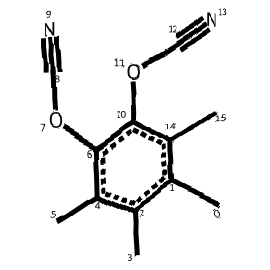 Cc1c(C)c(C)c(OC#N)c(OC#N)c1C